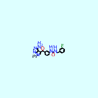 CC(C)n1cc(C(=O)c2cccc(NC(=O)NCc3cccc(F)c3)c2)c2c(N)ncnc21